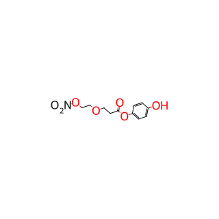 O=C(CCOCCO[N+](=O)[O-])Oc1ccc(O)cc1